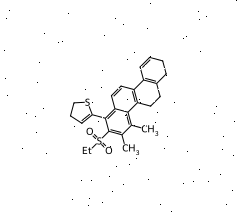 CCS(=O)(=O)c1c(C)c(C)c2c3c(ccc2c1C1=CCCS1)C1=C(CCC=C1)CC3